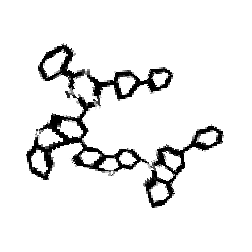 c1ccc(-c2ccc(-c3nc(-c4ccccc4)nc(-c4cc(-c5ccc6oc7cc(-n8c9ccccc9c9cc(-c%10ccccc%10)ccc98)ccc7c6c5)c5c(c4)oc4ccccc45)n3)cc2)cc1